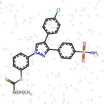 CN(O)C(=S)Sc1cccc(-n2cc(-c3ccc(Cl)cc3)c(-c3ccc(S(N)(=O)=O)cc3)n2)c1